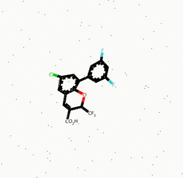 O=C(O)C1=Cc2cc(Cl)cc(-c3cc(F)cc(F)c3)c2OC1C(F)(F)F